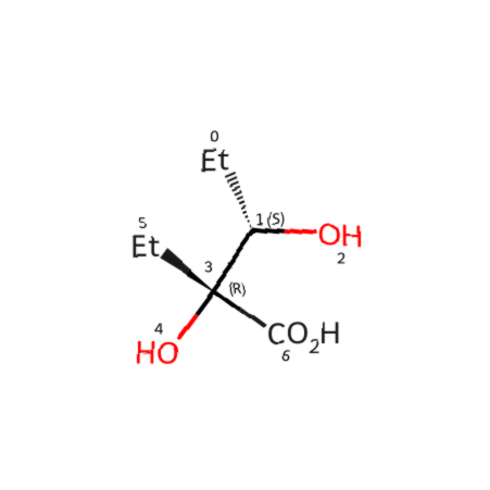 CC[C@H](O)[C@](O)(CC)C(=O)O